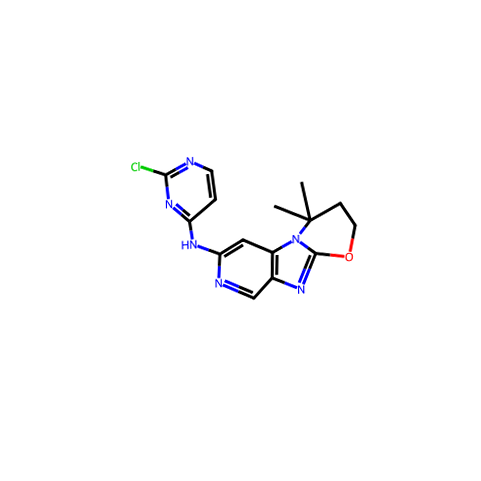 CC1(C)CCOc2nc3cnc(Nc4ccnc(Cl)n4)cc3n21